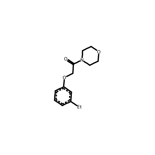 CCc1cccc(OCC(=O)N2CCOCC2)c1